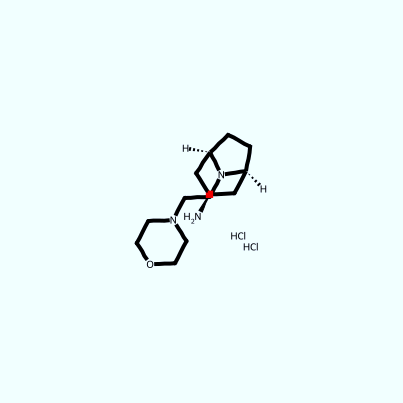 Cl.Cl.N[C@H]1C[C@H]2CC[C@@H](C1)N2CCN1CCOCC1